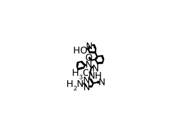 C[C@@H](Nc1nc(N)ncc1C#N)c1nc2cccc(-c3ccnc(O)c3)c2c(=O)n1-c1ccccc1